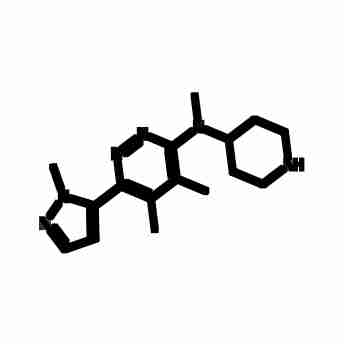 Cc1c(-c2ccnn2C)nnc(N(C)C2CCNCC2)c1C